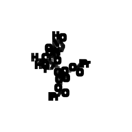 CC(C)C(=O)OCOP(=O)(OCOC(=O)C(C)C)OC[C@@]1(CF)O[C@H](n2ccc(=O)[nH]c2=O)C(C)(O)[C@@H]1O